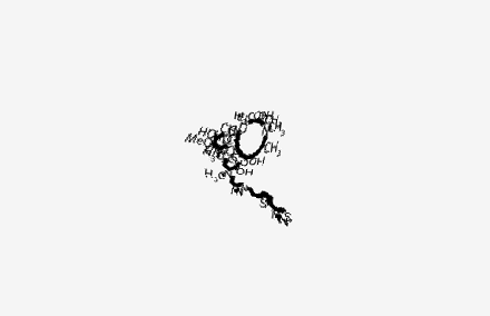 CC[C@H]1OC(=O)[C@H](C)[C@@H](O[C@H]2C[C@@](C)(OC)[C@@H](O)[C@H](C)O2)[C@H](C)[C@@H](O[C@@H]2O[C@H](C)C[C@H](N(C)CCc3cn(CCc4ccc(-c5csnn5)s4)nn3)[C@H]2O)[C@H](O)C[C@@H](C)CN(C)[C@H](C)[C@@H](O)[C@]1(C)O